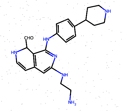 NCCNc1cc2c(c(Nc3ccc(C4CCNCC4)cc3)n1)C(C=O)NC=C2